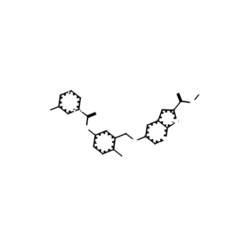 COC(=O)c1cc2cc(NCc3cc(NC(=O)c4cccc(S)c4)ccc3C)cnc2[nH]1